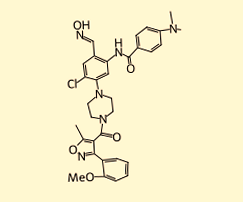 COc1ccccc1-c1noc(C)c1C(=O)N1CCN(c2cc(NC(=O)c3ccc(N(C)C)cc3)c(C=NO)cc2Cl)CC1